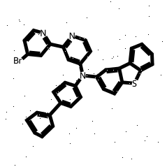 Brc1ccnc(-c2cc(N(c3ccc(-c4ccccc4)cc3)c3ccc4sc5ccccc5c4c3)ccn2)c1